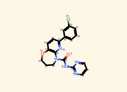 O=C(Nc1ncccn1)N1CCCOc2ccc(-c3cccc(Cl)c3)nc21